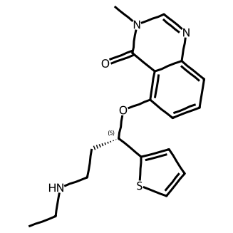 CCNCC[C@H](Oc1cccc2ncn(C)c(=O)c12)c1cccs1